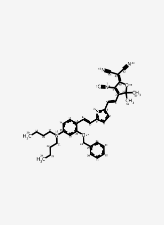 [C-]#[N+]C1=C(/C=C/c2ccc(/C=C/c3ccc(N(CCCC)CCCC)cc3OCc3ccccc3)s2)C(C)(C)OC1=C(C#N)C#N